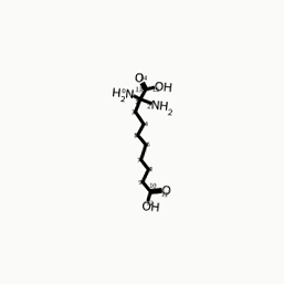 NC(N)(CCCCCCCC(=O)O)C(=O)O